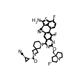 N#Cc1c(N)sc2c(F)ccc(-c3c(Cl)cc4c(N5CCCC6(CN(C(=O)[C@@H]7C[C@H]7C#N)C6)C5)nc(OC[C@@]56CCCN5C[C@H](F)C6)nc4c3F)c12